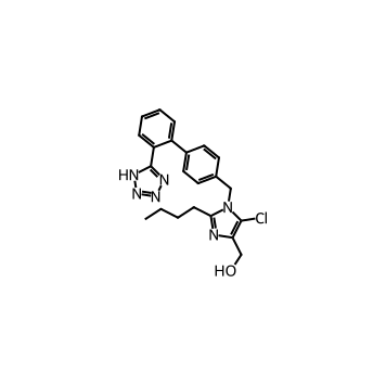 CCCCc1nc(CO)c(Cl)n1Cc1ccc(-c2ccccc2-c2nnn[nH]2)cc1